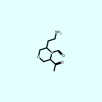 CC(=O)C1COCC(CCN)N1C=O